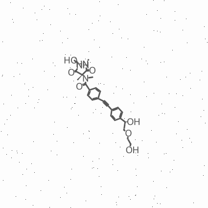 CNC(=O)[C@@](C)(C(=O)NO)N(C)C(=O)c1ccc(C#Cc2ccc([C@H](O)COCCO)cc2)cc1